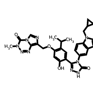 CC(C)c1cc(-c2n[nH]c(=O)n2-c2ccc3c(ccn3CC3CC3)c2)c(O)cc1OCc1ncn2c(=O)n(C)nnc12